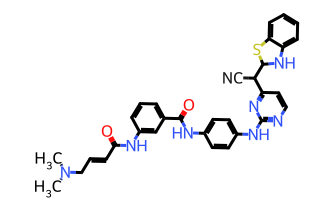 CN(C)C/C=C/C(=O)Nc1cccc(C(=O)Nc2ccc(Nc3nccc(C(C#N)C4Nc5ccccc5S4)n3)cc2)c1